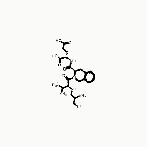 CC(C)[C@H](NCC(N)CS)C(=O)N1Cc2ccccc2C[C@@H]1C(=O)N[C@@H](CCC(=O)O)C(=O)O